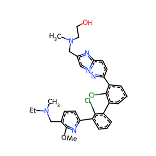 CCN(C)Cc1ccc(-c2cccc(-c3cccc(-c4ccc5nc(CN(C)CCO)cn5n4)c3Cl)c2Cl)nc1OC